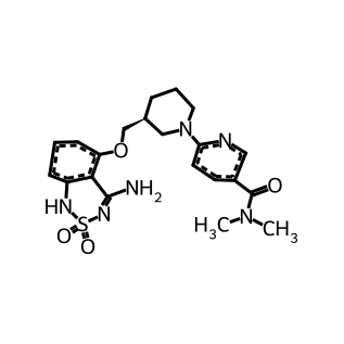 CN(C)C(=O)c1ccc(N2CCC[C@H](COc3cccc4c3C(N)=NS(=O)(=O)N4)C2)nc1